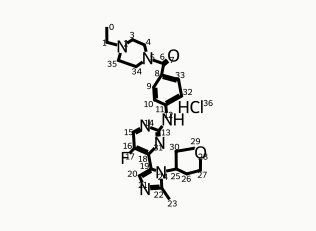 CCN1CCN(C(=O)c2ccc(Nc3ncc(F)c(-c4cnc(C)n4C4CCOCC4)n3)cc2)CC1.Cl